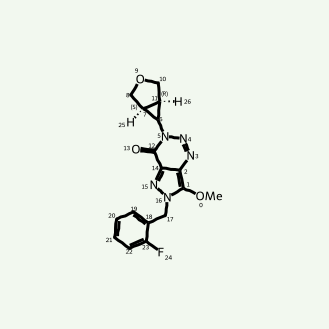 COc1c2nnn(C3[C@H]4COC[C@@H]34)c(=O)c2nn1Cc1ccccc1F